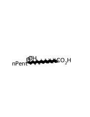 CCCCC[C@@H](CCCCCC=CC=CC=CC=CC(=O)O)OO